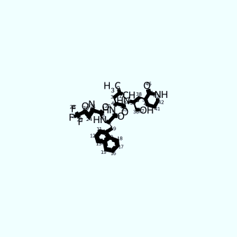 CC(C)C[C@H](NC(=O)[C@H](Cc1cccc2ccccc12)NC(=O)c1cc(C(F)(F)F)on1)C(=O)N[C@H](CO)C[C@@H]1CCCNC1=O